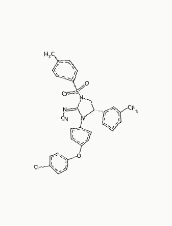 Cc1ccc(S(=O)(=O)N2C[C@H](c3cccc(C(F)(F)F)c3)N(c3ccc(Oc4ccc(Cl)cc4)cc3)/C2=N\C#N)cc1